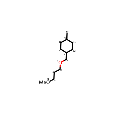 COCCCOCC1CCC(C)CC1